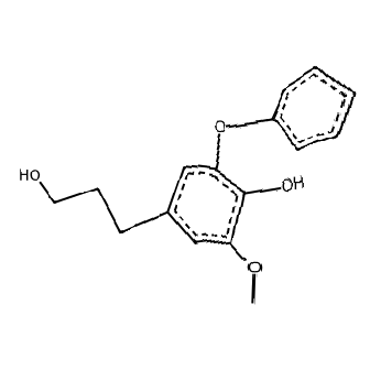 COc1cc(CCCO)cc(Oc2ccccc2)c1O